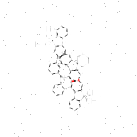 CC1(C)c2ccccc2-c2ccc(-c3cccc(N(c4ccccc4-c4cccc5c4-c4ccccc4C5(C)C)c4cccc5c4-c4ccccc4C54CCCCC4)c3)cc21